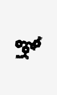 COC(=O)c1ccc(N(Cc2ccccc2)Cc2csc3ccc(Br)cc23)cc1